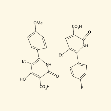 CCc1c(-c2ccc(OC)cc2)[nH]c(=O)c(C(=O)O)c1O.CCc1cc(C(=O)O)c(=O)[nH]c1-c1ccc(F)cc1